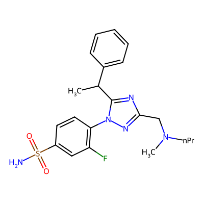 CCCN(C)Cc1nc(C(C)c2ccccc2)n(-c2ccc(S(N)(=O)=O)cc2F)n1